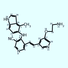 Cc1c(Nc2c(C#N)cncc2C=Cc2cncc(OCCN)c2)ccc2[nH]ccc12